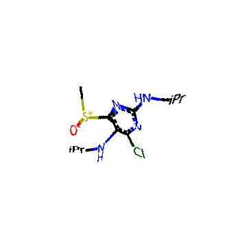 CC(C)Nc1nc(Cl)c(NC(C)C)c([S+](C)[O-])n1